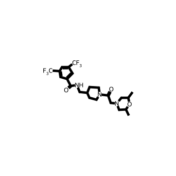 CC1CN(CC(=O)N2CCC(CNC(=O)c3cc(C(F)(F)F)cc(C(F)(F)F)c3)CC2)CC(C)O1